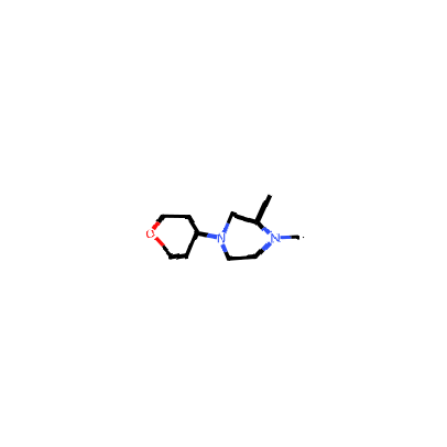 [CH2]N1CCN(C2CCOCC2)CC1C